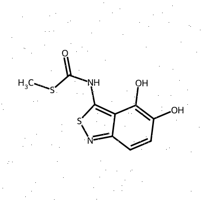 CSC(=O)Nc1snc2ccc(O)c(O)c12